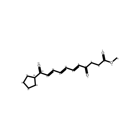 COC(=O)CCC(=O)/C=C/C=C/C=C/C(=O)C1CCCC1